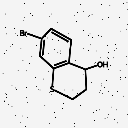 OC1CCSc2cc(Br)ccc21